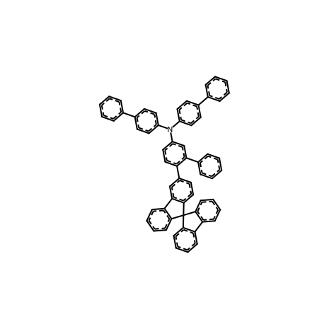 c1ccc(-c2ccc(N(c3ccc(-c4ccccc4)cc3)c3ccc(-c4ccc5c(c4)-c4ccccc4C54c5ccccc5-c5ccccc54)c(-c4ccccc4)c3)cc2)cc1